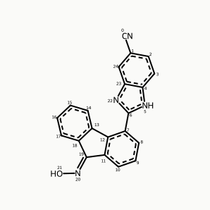 N#Cc1ccc2[nH]c(-c3cccc4c3-c3ccccc3C4=NO)nc2c1